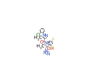 Cc1c(C(=O)NC(C)C(O)(Cn2cncn2)c2ccc(F)cc2F)cnn1-c1ccccc1Cl